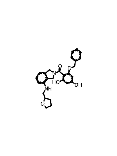 O=C(c1c(O)cc(O)cc1OCc1ccccc1)N1Cc2cccc(NCC3CCCO3)c2C1